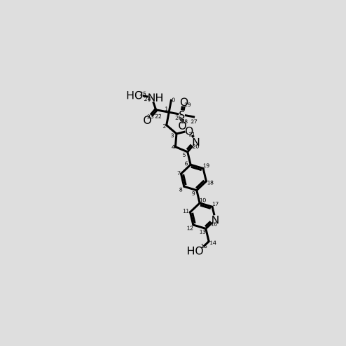 CC(CC1CC(c2ccc(-c3ccc(CO)nc3)cc2)=NO1)(C(=O)NO)S(C)(=O)=O